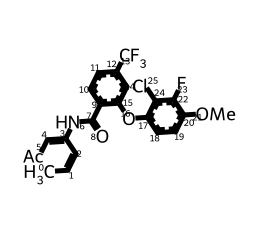 C/C=C\C(=C/C(C)=O)NC(=O)c1ccc(C(F)(F)F)cc1Oc1ccc(OC)c(F)c1Cl